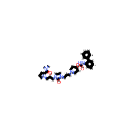 CN(C)C(=O)C1CCCN1CCCN1CCN(CCCN2CCC(OC(=O)Nc3ccccc3-c3ccccc3)CC2)C1=O